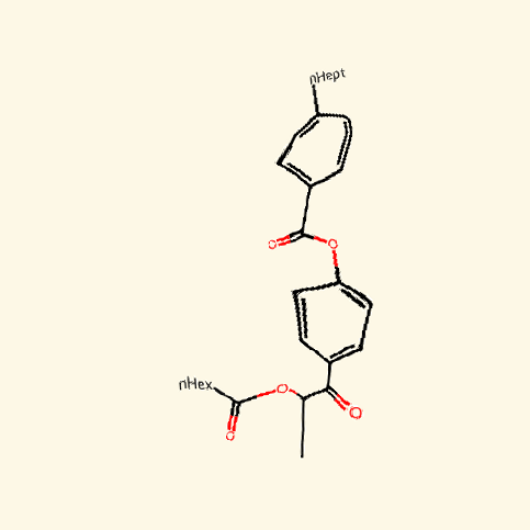 CCCCCCCc1ccc(C(=O)Oc2ccc(C(=O)C(C)OC(=O)CCCCCC)cc2)cc1